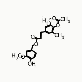 COc1cc(COC(=O)/C=C/c2cc(C)c(OC(C)=O)c(C)c2)ccc1O